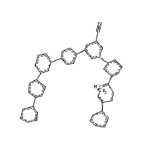 C=C(/C=C\C(=C/C)c1ccccc1)c1cccc(-c2cc(C#N)cc(-c3ccc(-c4cccc(-c5ccc(-c6ccccc6)cc5)c4)cc3)c2)c1